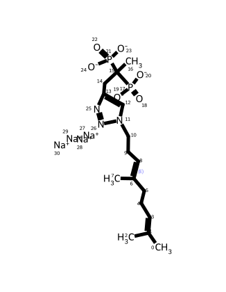 CC(C)=CCC/C(C)=C/CCn1cc(CC(C)(P(=O)([O-])[O-])P(=O)([O-])[O-])nn1.[Na+].[Na+].[Na+].[Na+]